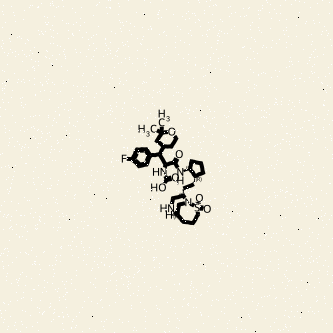 CC1(C)CC(C(c2ccc(F)cc2)C(NC(=O)O)C(=O)N[C@H]2CCC[C@@H]2CC[C@H]2CN[C@@H]3CCCS(=O)(=O)N2C3)CCO1